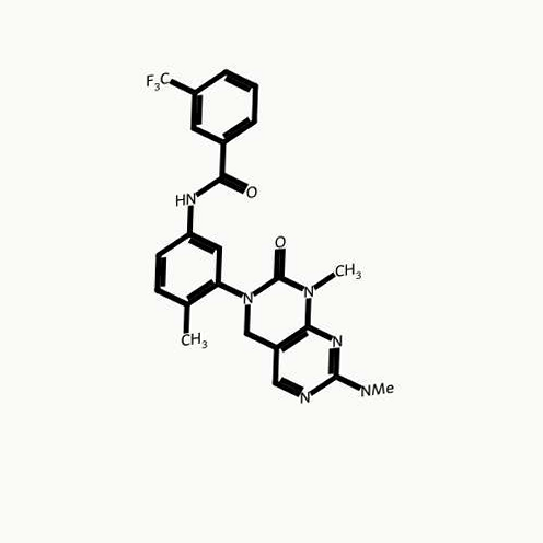 CNc1ncc2c(n1)N(C)C(=O)N(c1cc(NC(=O)c3cccc(C(F)(F)F)c3)ccc1C)C2